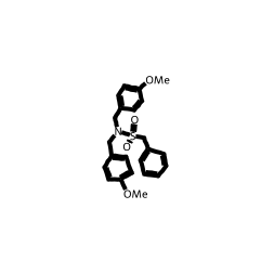 COc1ccc(CN(Cc2ccc(OC)cc2)S(=O)(=O)Cc2ccccc2)cc1